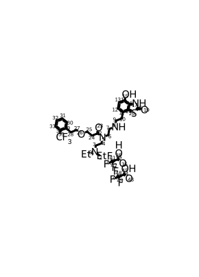 CCN(CC)CCN(CCNCCc1ccc(O)c2[nH]c(=O)sc12)C(=O)CCOCCc1ccccc1C(F)(F)F.O=C(O)C(F)(F)F.O=C(O)C(F)(F)F